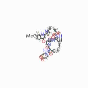 COc1ccc2c(O[C@@H]3C[C@H]4C(=O)N[C@]5(C(=O)NS(=O)(=O)C6CC6)C[C@H]5/C=C/CCCCC[C@H](NC(=O)N5CCS(=O)(=O)CC5)C(=O)N4C3)cc(-c3nc(C(C)C)cs3)nc2c1C